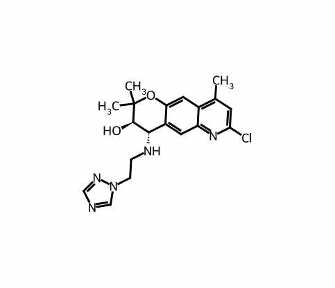 Cc1cc(Cl)nc2cc3c(cc12)OC(C)(C)[C@H](O)[C@H]3NCCn1cncn1